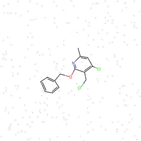 Cc1cc(Cl)c(CCl)c(OCc2ccccc2)n1